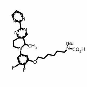 CC1c2cnc(-c3ncccn3)nc2CCN1c1cc(F)c(F)c(OCCCCCCN(C(=O)O)C(C)(C)C)c1